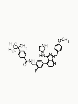 COc1ccc(Cn2nc(N[C@@H]3CCNC3)c3c(-c4ccc(CNC(=O)c5ccc(C(C)(C)C)cc5)c(F)c4)ccnc32)cc1